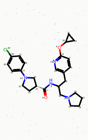 O=C(NC(Cc1ccc(OC2CC2)nc1)CN1CCCC1)[C@@H]1CCN(c2ccc(Cl)cc2)C1